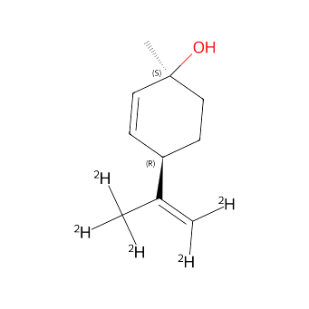 [2H]C([2H])=C([C@H]1C=C[C@@](C)(O)CC1)C([2H])([2H])[2H]